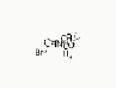 CC(C)(NCc1cccc(CBr)c1)C(=O)OC1CCCC1